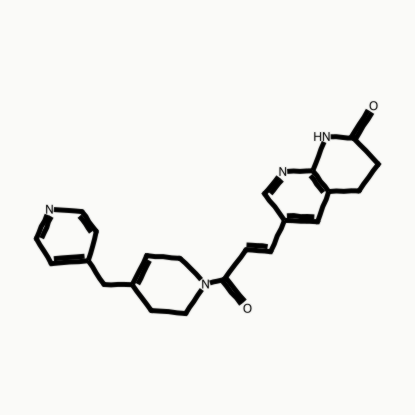 O=C1CCc2cc(C=CC(=O)N3CC=C(Cc4ccncc4)CC3)cnc2N1